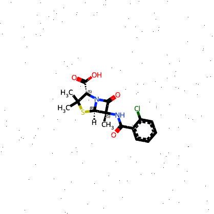 CC1(C)S[C@H]2N(C(=O)[C@]2(C)NC(=O)c2ccccc2Cl)[C@H]1C(=O)O